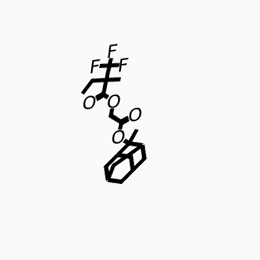 CCC(C)(C(=O)OCC(=O)OC1(C)C2CC3CC(C2)CC1C3)C(F)(F)F